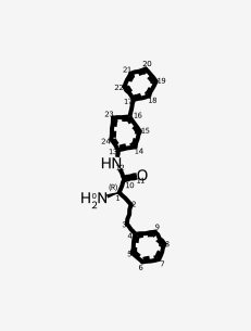 N[C@H](CCc1ccccc1)C(=O)Nc1ccc(-c2ccccc2)cc1